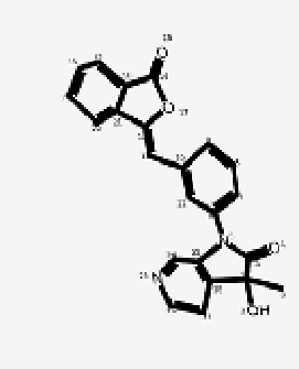 CC1(O)C(=O)N(c2cccc(C=C3OC(=O)c4ccccc43)c2)c2cnccc21